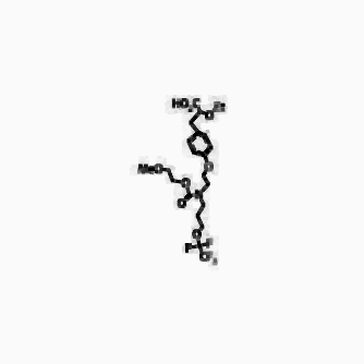 CCOC(Cc1ccc(OCCN(CCCOC(F)(F)C(F)(F)F)C(=O)OCCOC)cc1)C(=O)O